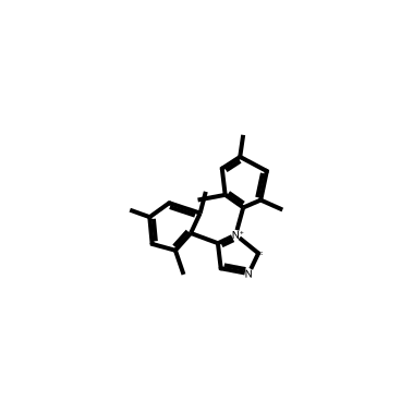 Cc1cc(C)c(C2=[N+](c3c(C)cc(C)cc3C)[C]N=C2)c(C)c1